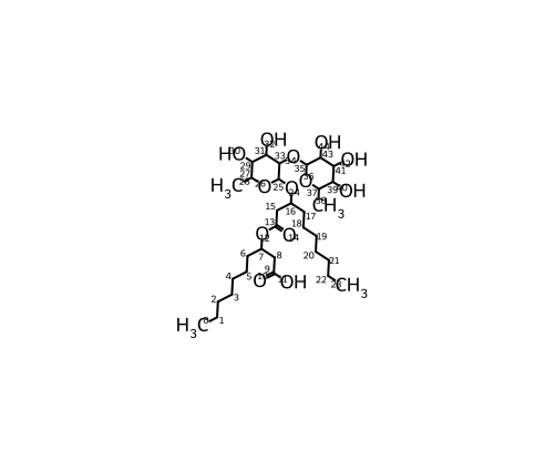 CCCCCCCC(CC(=O)O)OC(=O)CC(CCCCCCC)OC1OC(C)C(O)C(O)C1OC1OC(C)C(O)C(O)C1O